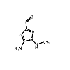 CNn1nc(C=S)nc1N